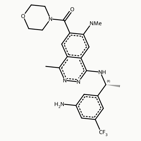 CNc1cc2c(N[C@H](C)c3cc(N)cc(C(F)(F)F)c3)nnc(C)c2cc1C(=O)N1CCOCC1